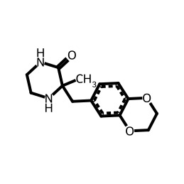 CC1(Cc2ccc3c(c2)OCCO3)NCCNC1=O